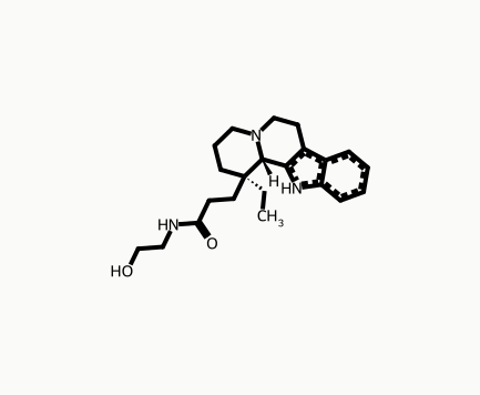 CC[C@]1(CCC(=O)NCCO)CCCN2CCc3c([nH]c4ccccc34)[C@@H]21